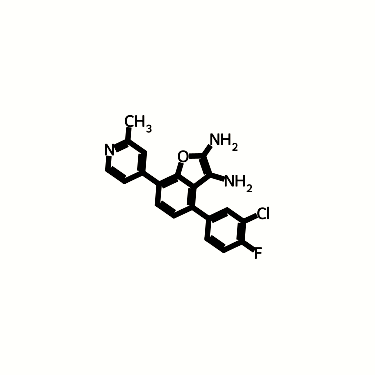 Cc1cc(-c2ccc(-c3ccc(F)c(Cl)c3)c3c(N)c(N)oc23)ccn1